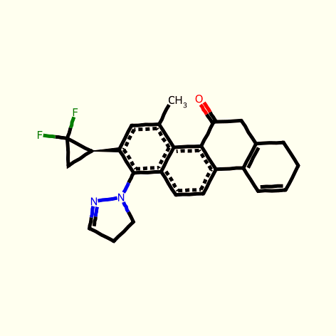 Cc1cc([C@H]2CC2(F)F)c(N2CCC=N2)c2ccc3c(c12)C(=O)CC1=C3C=CCC1